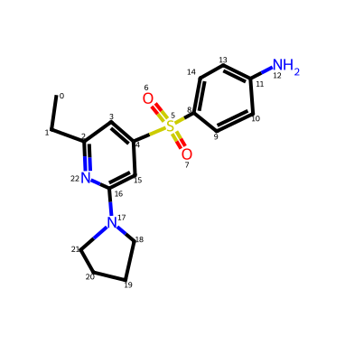 CCc1cc(S(=O)(=O)c2ccc(N)cc2)cc(N2CCCC2)n1